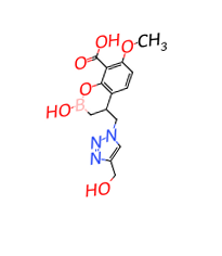 COc1ccc2c(c1C(=O)O)OB(O)CC2Cn1cc(CO)nn1